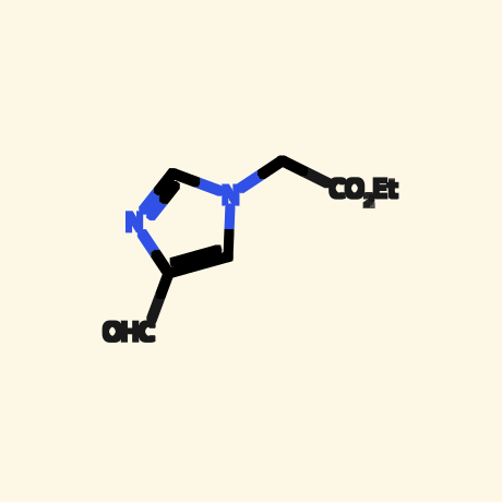 CCOC(=O)Cn1cnc(C=O)c1